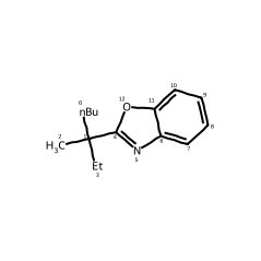 CCCCC(C)(CC)c1nc2ccccc2o1